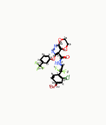 O=C(NCC(F)(F)c1ccc(Br)cc1Cl)c1c(Oc2cccc(C(F)(F)F)c2)nnc2c1OCCO2